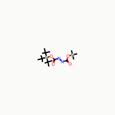 CC(C)(C)[Si](OC(=O)N=NC(=O)O[Si](C)(C)C)(C(C)(C)C)C(C)(C)C